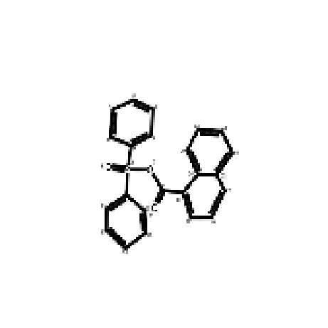 O=C(OP(=O)(c1ccccc1)c1ccccc1)c1cccc2ccccc12